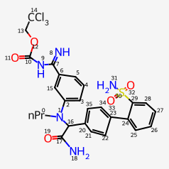 CCCN(c1cccc(C(=N)NC(=O)OCC(Cl)(Cl)Cl)c1)C(C(N)=O)c1ccc(-c2ccccc2S(N)(=O)=O)cc1